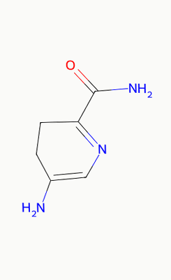 NC(=O)C1=NC=C(N)CC1